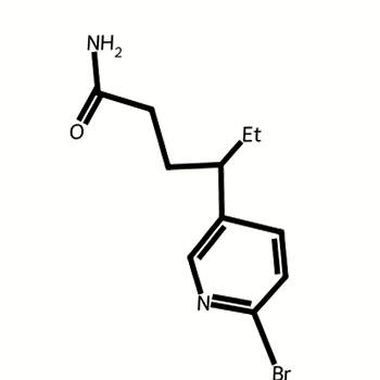 CCC(CCC(N)=O)c1ccc(Br)nc1